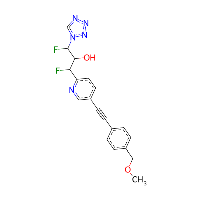 COCc1ccc(C#Cc2ccc(C(F)C(O)C(F)n3cnnn3)nc2)cc1